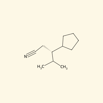 CC(C)[C@H](CC#N)C1CCCC1